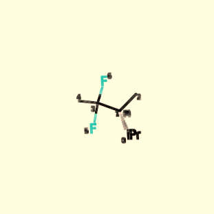 CC(C)[C@@H](C)C(C)(F)F